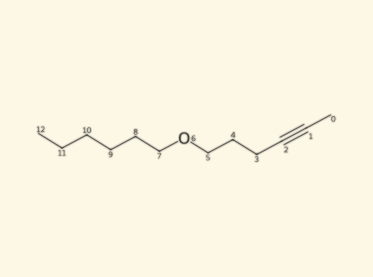 CC#CCCCOCCCCCC